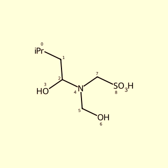 CC(C)CC(O)N(CO)CS(=O)(=O)O